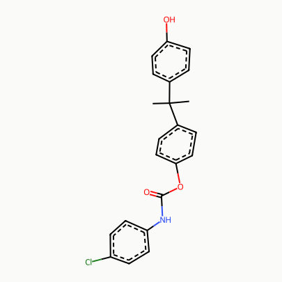 CC(C)(c1ccc(O)cc1)c1ccc(OC(=O)Nc2ccc(Cl)cc2)cc1